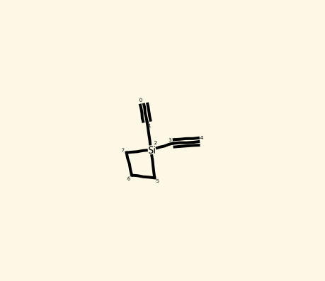 C#C[Si]1(C#C)CCC1